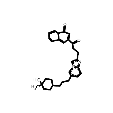 CC1(C)CCC(CCCc2ccc3nc(CCC(=O)C4=CC(=O)C5C=CC=CC5=C4)cn3c2)CC1